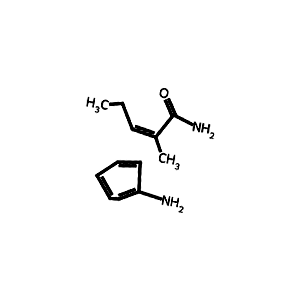 CCC=C(C)C(N)=O.Nc1ccccc1